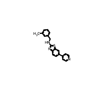 Cc1cccc(CNc2nc3ccc(-c4ccncc4)cc3s2)c1